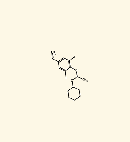 C=Cc1cc(I)c(OC(C)OC2CCCCC2)c(I)c1